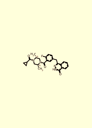 C[C@@H]1CN(C(=O)c2cc(Cc3n[nH]c(=O)c4ccccc34)ccc2F)[C@@H](C)CN1C(=O)C1CC1